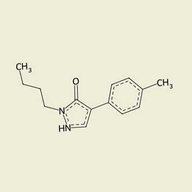 CCCCn1[nH]cc(-c2ccc(C)cc2)c1=O